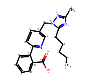 CCCCCc1nc(C)nn1Cc1ccc(-c2ccccc2C(=O)O)nc1